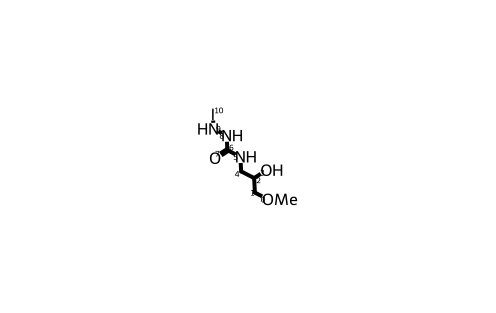 COCC(O)CNC(=O)NNI